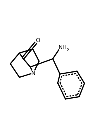 NC(c1ccccc1)C1C(=O)C2CCN1CC2